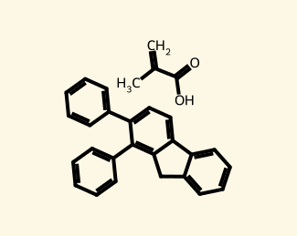 C=C(C)C(=O)O.c1ccc(-c2ccc3c(c2-c2ccccc2)Cc2ccccc2-3)cc1